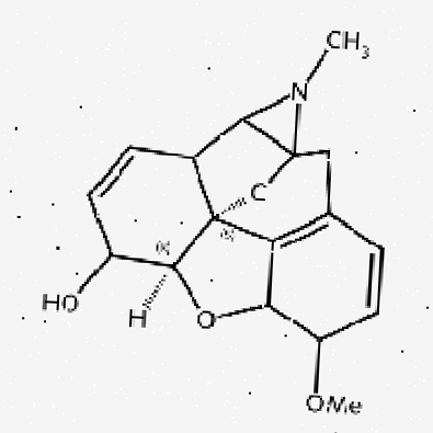 COC1C=CC2=C3C1O[C@H]1C(O)C=CC4C5N(C)C5(C2)C[C@@]341